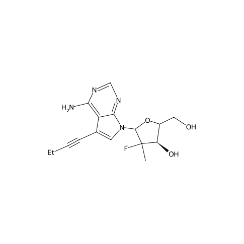 CCC#Cc1cn(C2OC(CO)[C@@H](O)C2(C)F)c2ncnc(N)c12